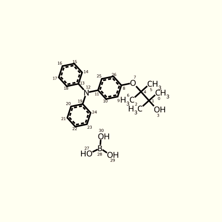 CC(C)(O)C(C)(C)Oc1ccc(N(c2ccccc2)c2ccccc2)cc1.OB(O)O